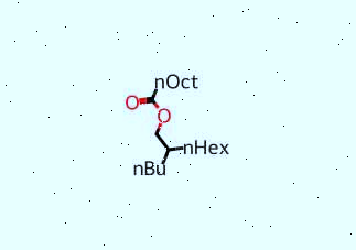 C[CH]CCCCCCC(=O)OCC(CCCC)CCCCCC